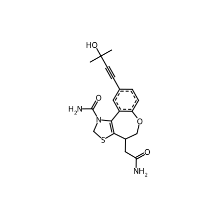 CC(C)(O)C#Cc1ccc2c(c1)C1=C(SCN1C(N)=O)C(CC(N)=O)CO2